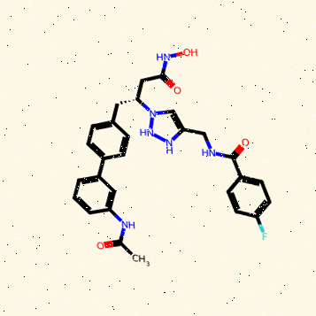 CC(=O)Nc1cccc(-c2ccc(C[C@H](CC(=O)NO)N3C=C(CNC(=O)c4ccc(F)cc4)NN3)cc2)c1